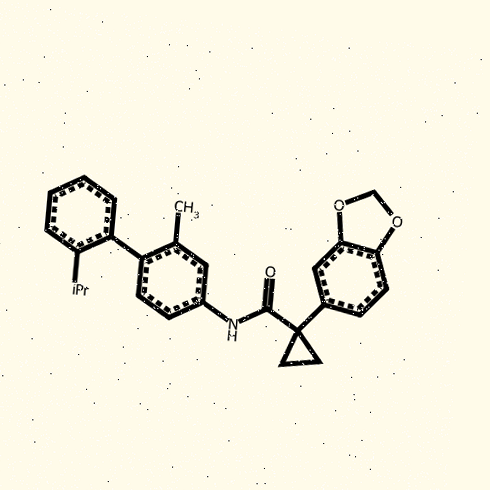 Cc1cc(NC(=O)C2(c3ccc4c(c3)OCO4)CC2)ccc1-c1ccccc1C(C)C